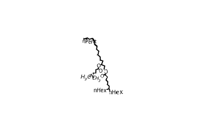 CCCCC/C=C\C/C=C\CCCCCCCCC(CCOC(=O)CCCCCC(CCCCCC)CCCCCC)OC(=O)CCCN(C)C